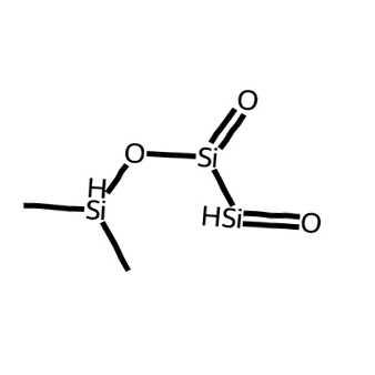 C[SiH](C)O[Si](=O)[SiH]=O